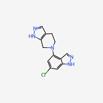 Clc1cc(N2CCc3cn[nH]c3C2)c2cn[nH]c2c1